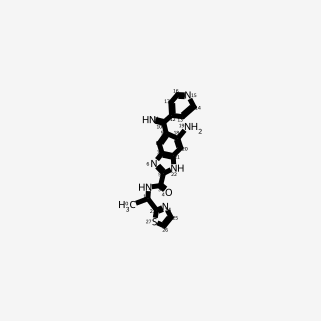 CC(NC(=O)c1nc2cc(C(=N)c3ccncc3)c(N)cc2[nH]1)c1nccs1